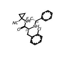 N#CC1(NC(=O)[C@H](Cc2ccccc2Cl)N[C@@H](c2ccccc2)C(F)(F)F)CC1